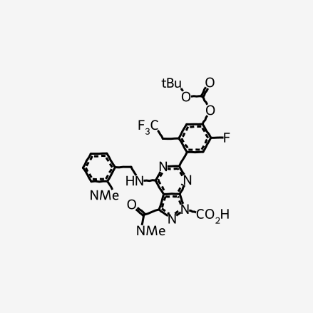 CNC(=O)c1nn(C(=O)O)c2nc(-c3cc(F)c(OC(=O)OC(C)(C)C)cc3CC(F)(F)F)nc(NCc3ccccc3NC)c12